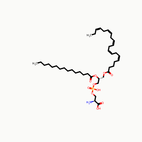 CC/C=C\C/C=C\C/C=C\C/C=C\C/C=C\CCCC(=O)OC[C@H](COP(=O)(O)OC[C@H](N)C(=O)O)OC(=O)CCCCCCCCCCCCCC